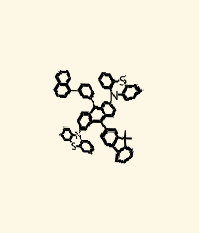 CC1(C)c2ccccc2-c2ccc(-c3c4ccc(N5c6ccccc6Sc6ccccc65)cc4c(-c4cccc(-c5cccc6ccccc56)c4)c4ccc(N5c6ccccc6Sc6ccccc65)cc34)cc21